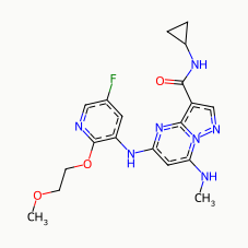 CNc1cc(Nc2cc(F)cnc2OCCOC)nc2c(C(=O)NC3CC3)cnn12